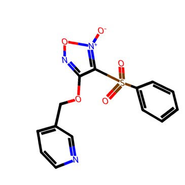 O=S(=O)(c1ccccc1)c1c(OCc2cccnc2)no[n+]1[O-]